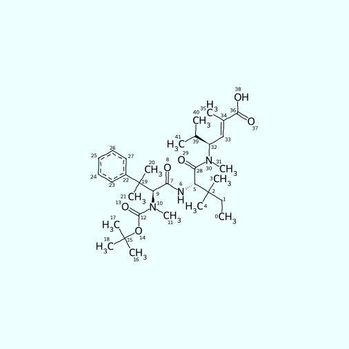 CCC(C)(C)[C@H](NC(=O)[C@@H](N(C)C(=O)OC(C)(C)C)C(C)(C)c1ccccc1)C(=O)N(C)[C@H](/C=C(\C)C(=O)O)C(C)C